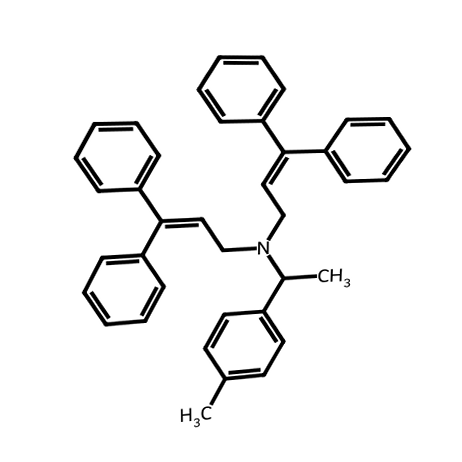 Cc1ccc(C(C)N(CC=C(c2ccccc2)c2ccccc2)CC=C(c2ccccc2)c2ccccc2)cc1